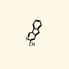 N#CC1=CC2=Cc3ccccc3C2C=N1